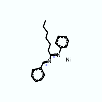 CCCCCCC(/N=C/c1ccccc1)=N\c1ccccc1.[Ni]